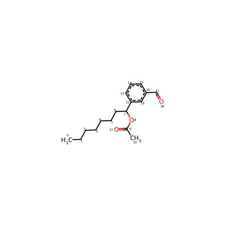 CCCCCCCC(OC(C)=O)c1cccc(C=O)c1